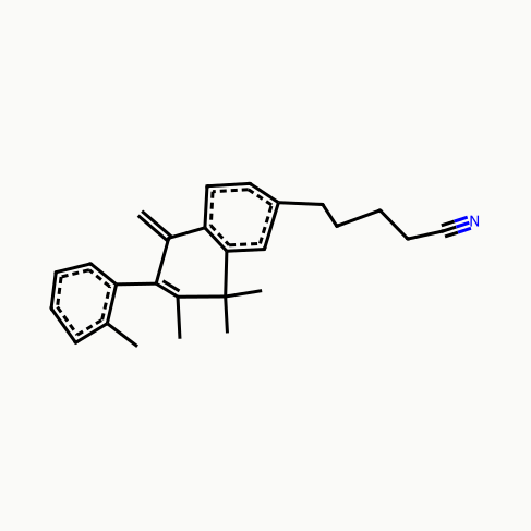 C=C1C(c2ccccc2C)=C(C)C(C)(C)c2cc(CCCCC#N)ccc21